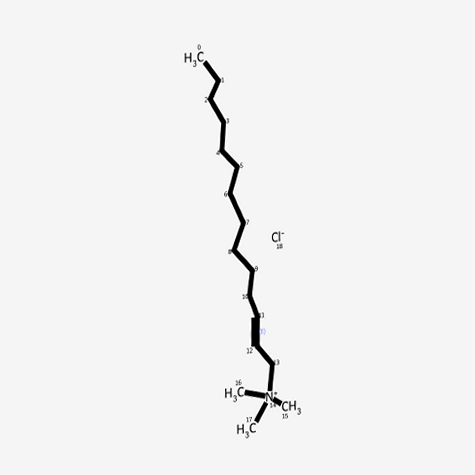 CCCCCCCCCCC/C=C/C[N+](C)(C)C.[Cl-]